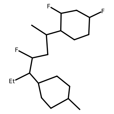 CCC(C(F)CC(C)C1CCC(F)CC1F)C1CCC(C)CC1